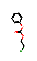 O=C(OCCCl)Oc1ccccc1